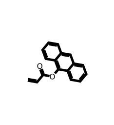 C=CC(=O)Oc1c2ccccc2cc2ccccc12